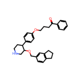 O=C(CCCOc1ccc(C2CCNCC2OCc2ccc3c(c2)CCC3)cc1)c1ccccc1